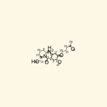 COc1cc(C(=O)N2CCCC[C@H]2CO)c(N)cc1OCCCC(C)=O